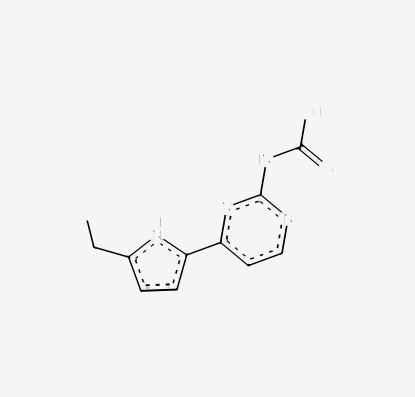 CCc1ccc(-c2ccnc(NC(C)=O)n2)[nH]1